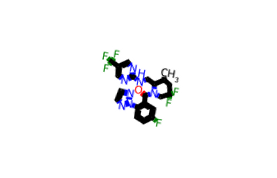 CC1CC(F)(F)CN(C(=O)c2cc(F)ccc2-n2nccn2)C1CNc1ncc(C(F)(F)F)cn1